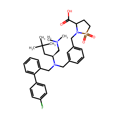 CN(C)C[C@H](CC(C)(C)C)N(Cc1cccc(CN2C(C(=O)O)CCS2(=O)=O)c1)Cc1ccccc1-c1ccc(F)cc1